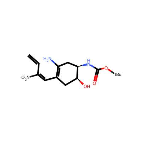 C=C/C(=C\C1=C(N)C[C@@H](NC(=O)OC(C)(C)C)[C@@H](O)C1)[N+](=O)[O-]